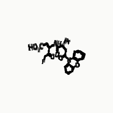 CC(C)[C@H](CC(=O)N1c2ccccc2Oc2ccccc21)C(=O)NC(CC(=O)O)C(=O)CF